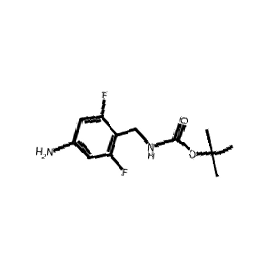 CC(C)(C)OC(=O)NCc1c(F)cc(N)cc1F